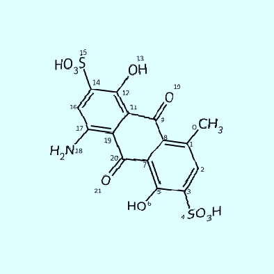 Cc1cc(S(=O)(=O)O)c(O)c2c1C(=O)c1c(O)c(S(=O)(=O)O)cc(N)c1C2=O